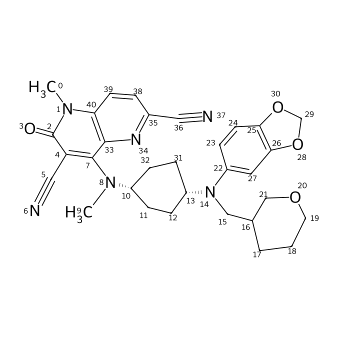 Cn1c(=O)c(C#N)c(N(C)[C@H]2CC[C@@H](N(CC3CCCOC3)c3ccc4c(c3)OCO4)CC2)c2nc(C#N)ccc21